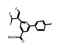 COC(=O)c1cc(C(=CF)C(F)F)nc(-c2ccc(F)cc2)c1